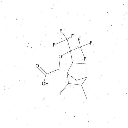 CC1C2CC(C1I)C(C(OCC(=O)O)(C(F)(F)F)C(F)(F)F)C2